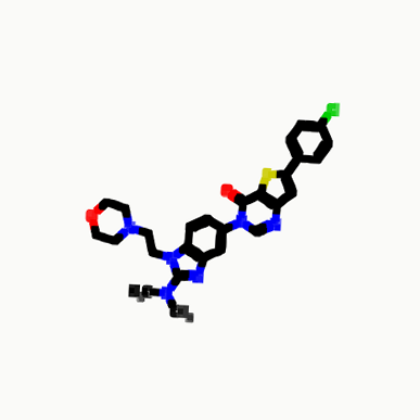 CN(C)c1nc2cc(-n3cnc4cc(-c5ccc(Cl)cc5)sc4c3=O)ccc2n1CCN1CCOCC1